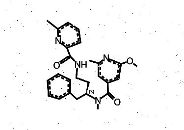 COc1cc(C(=O)N(C)[C@H](CCNC(=O)c2cccc(C)n2)Cc2ccccc2)cc(C)n1